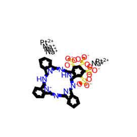 O=S(=O)([O-])c1c(S(=O)(=O)[O-])c(S(=O)(=O)[O-])c2c3[n-]c4[n-]c([n-]c5[n-]c([nH]c6nc(nc([nH]3)c2c1S(=O)(=O)[O-])-c1ccccc1-6)c1ccccc51)c1ccccc41.[Na+].[Na+].[Na+].[Na+].[Pt+2].[Pt+2]